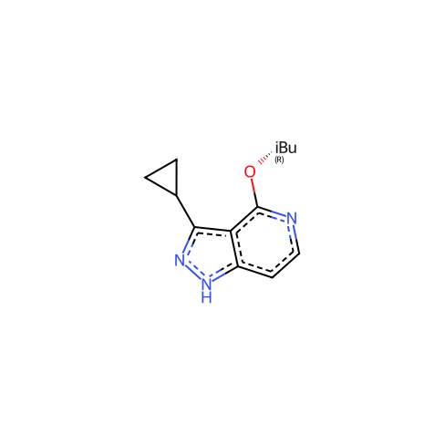 CC[C@@H](C)Oc1nccc2[nH]nc(C3CC3)c12